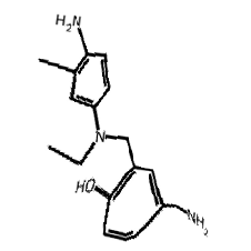 CCN(Cc1cc(N)ccc1O)c1ccc(N)c(C)c1